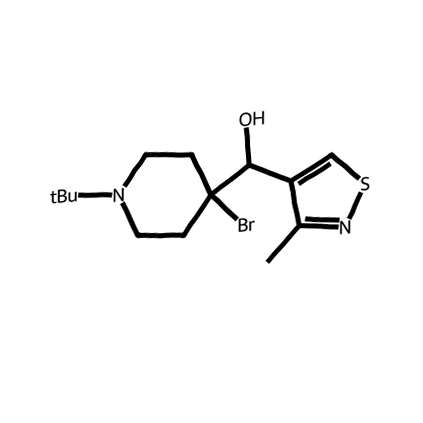 Cc1nscc1C(O)C1(Br)CCN(C(C)(C)C)CC1